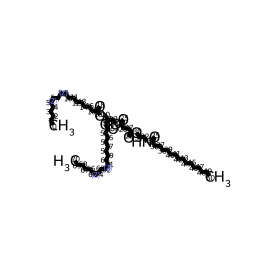 CCCCC/C=C\C/C=C\CCCCCCCC(=O)OCC(COC(=O)CCC(=O)OCCNC(=O)CCCCCCCCCCCCCCC)OC(=O)CCCCCCC/C=C\C/C=C\CCCCC